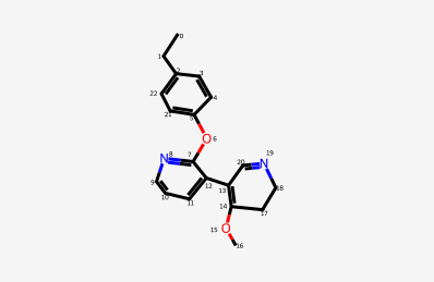 CCc1ccc(Oc2ncccc2C2=C(OC)CCN=C2)cc1